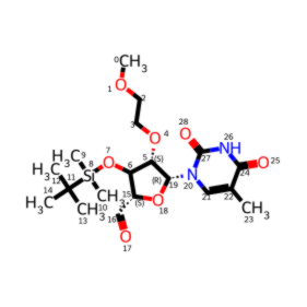 COCCO[C@H]1C(O[Si](C)(C)C(C)(C)C)[C@@H](C=O)O[C@H]1n1cc(C)c(=O)[nH]c1=O